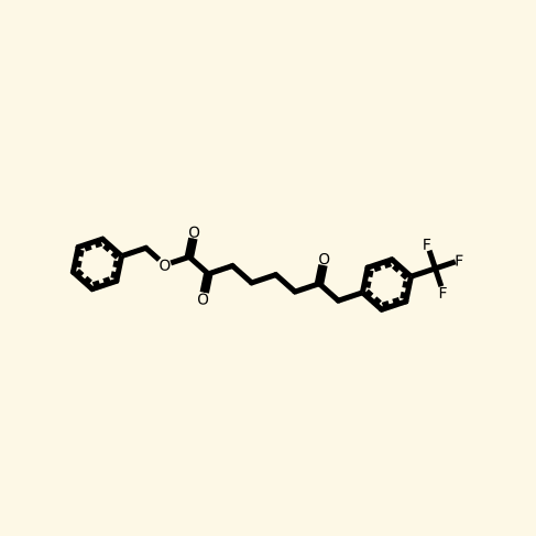 O=C(CCCCC(=O)C(=O)OCc1ccccc1)Cc1ccc(C(F)(F)F)cc1